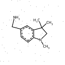 CN1CC(C)(C)c2cc(CN)ccc21